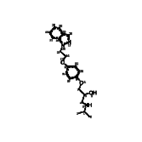 CC(C)NCC(O)COc1ccc(OCCn2ncc3ccccc32)cc1